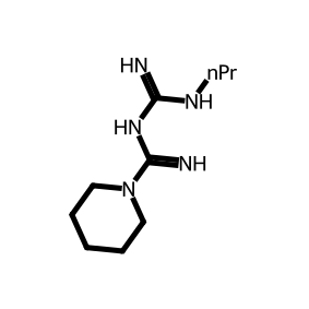 CCCNC(=N)NC(=N)N1CCCCC1